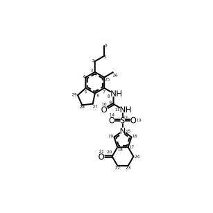 CCCc1cc2c(c(NC(=O)NS(=O)(=O)n3cc4c(c3)C(=O)CCC4)c1C)CCC2